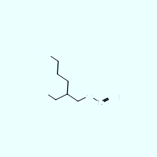 C=NOCC(CC)CCCC